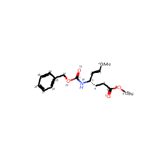 COC=C[C@H](CCC(=O)OC(C)(C)C)NC(=O)OCc1ccccc1